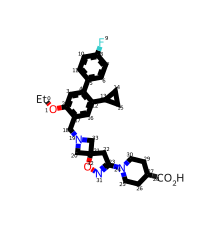 CCOc1cc(-c2ccc(F)cc2)c(C2CC2)cc1CN1CC2(CC(N3CCC(C(=O)O)CC3)=NO2)C1